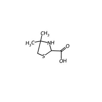 CC1(C)CSC(C(=O)O)N1